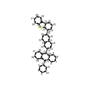 c1ccc(-c2c3ccccc3c(-c3ccc4cc(-c5cccc6c5sc5ccccc56)ccc4c3)c3ccccc23)cc1